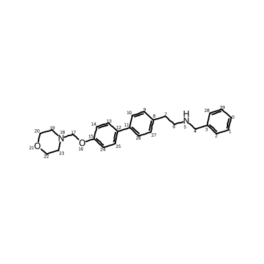 c1ccc(CNCCc2ccc(-c3ccc(OCN4CCOCC4)cc3)cc2)cc1